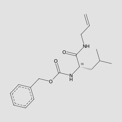 C=CCNC(=O)[C@H](CC(C)C)NC(=O)OCc1ccccc1